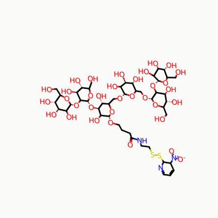 O=C(CCCO[C@H]1OC(CO[C@H]2OC(CO[C@H]3OC(CO)[C@@H](O)[C@H](O)C3O[C@H]3OC(CO)[C@@H](O)[C@H](O)C3O)[C@@H](O)[C@H](O)C2O)[C@@H](O)[C@H](O[C@H]2OC(CO)[C@@H](O)[C@H](O)C2O[C@H]2OC(CO)[C@@H](O)[C@H](O)C2O)C1O)NCCSSC1N=CC=CC1[N+](=O)[O-]